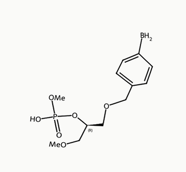 Bc1ccc(COC[C@@H](COC)OP(=O)(O)OC)cc1